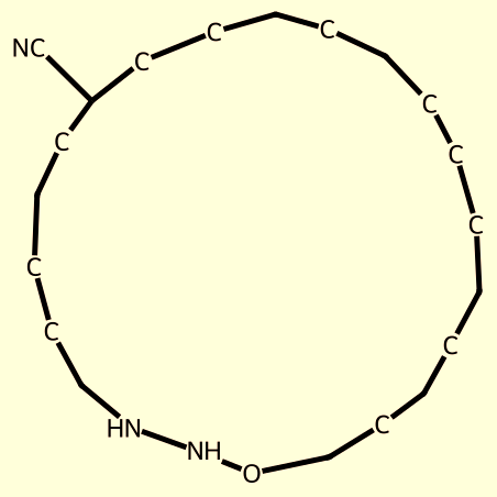 N#CC1CCCCCCCCCCCCCONNCCCCC1